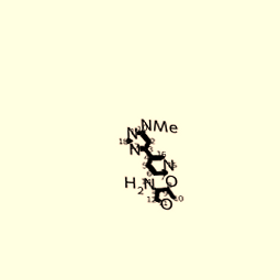 CNc1cc(-c2ccc(O[C@@H]3COC[C@H]3N)nc2)ncn1